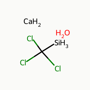 O.[CaH2].[SiH3]C(Cl)(Cl)Cl